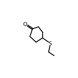 CCSC1CCC(=O)CC1